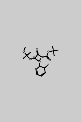 COC(C)(C)O[C@H]1C(=O)N(C(=O)OC(C)(C)C)[C@H]1C1N=CC=CC1F